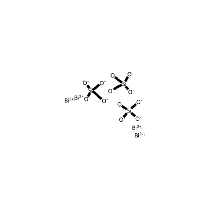 [Bi+3].[Bi+3].[Bi+3].[Bi+3].[O-][Si]([O-])([O-])[O-].[O-][Si]([O-])([O-])[O-].[O-][Si]([O-])([O-])[O-]